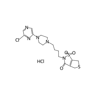 Cl.O=C1C2=C(CSC2)S(=O)(=O)N1CCCCN1CCN(c2cncc(Cl)n2)CC1